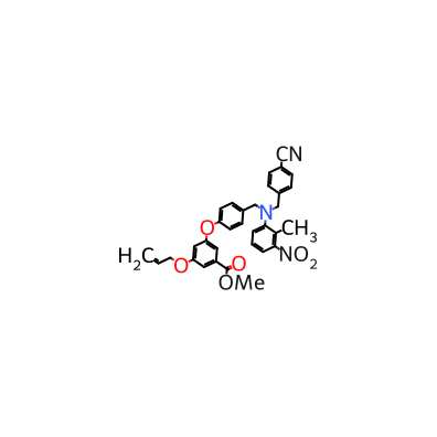 C=CCOc1cc(Oc2ccc(CN(Cc3ccc(C#N)cc3)c3cccc([N+](=O)[O-])c3C)cc2)cc(C(=O)OC)c1